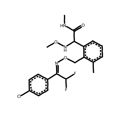 CNC(=O)C(NOC)c1cccc(C)c1CO/N=C(/c1ccc(Cl)cc1)C(F)F